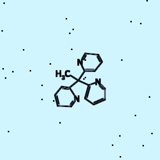 CC(c1ccccn1)(c1ccccn1)c1ccccn1